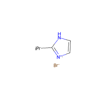 CC(C)C1=[N+]C=CN1.[Br-]